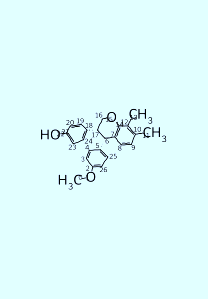 COc1ccc([C@H]2c3ccc(C)c(C)c3OC[C@H]2c2ccc(O)cc2)cc1